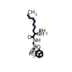 C\C=C/C=C\C=C\CC(NP)C(=O)NCB1OC2CC3CC(C2O1)C3(C)C